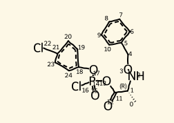 C[C@@H](NOCc1ccccc1)C(=O)OP(=O)(Cl)Oc1ccc(Cl)cc1